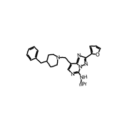 CCCNc1ncc(CN2CCC(Cc3ccccc3)CC2)c2nc(-c3ccco3)nn12